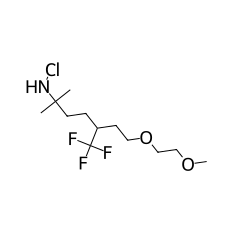 COCCOCCC(CCC(C)(C)NCl)C(F)(F)F